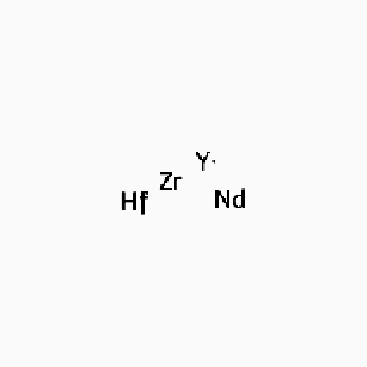 [Hf].[Nd].[Y].[Zr]